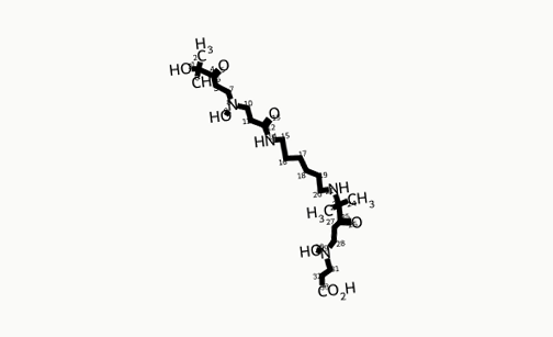 CC(C)(O)C(=O)CCN(O)CCC(=O)NCCCCCCNC(C)(C)C(=O)CCN(O)CCC(=O)O